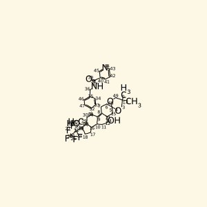 CC1(C)COC2(CCC3=C4C(CCC3(O)C2)C2CC[C@@](O)(C(F)(F)C(F)(F)F)[C@@]2(C)C[C@@H]4c2ccc(CNC(=O)c3cccnc3)cc2)OC1